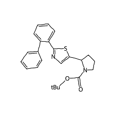 CC(C)(C)OC(=O)N1CCCC1c1cnc(-c2ccccc2-c2ccccc2)s1